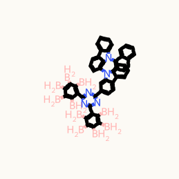 Bc1c(B)c(B)c(-c2nc(-c3ccc4c5ccccc5n(-c5cccc6c7ccccc7n(-c7cccc8ccccc78)c56)c4c3)nc(-c3c(B)c(B)c(B)c(B)c3B)n2)c(B)c1B